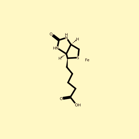 O=C(O)CCCC[C@@H]1SC[C@@H]2NC(=O)N[C@@H]21.[Fe]